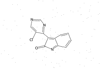 O=C1N=c2ccccc2=C1c1ncncc1Cl